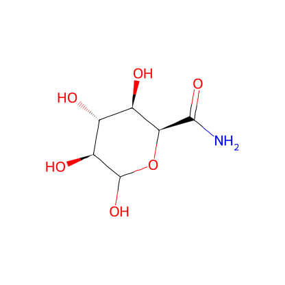 NC(=O)[C@H]1OC(O)[C@@H](O)[C@H](O)[C@H]1O